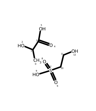 CC(O)C(=O)O.O=S(=O)(O)CCO